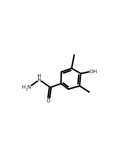 Cc1cc(C(=O)NN)cc(C)c1O